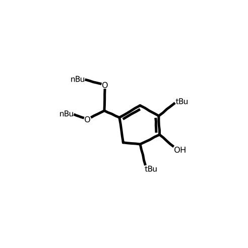 CCCCOC(OCCCC)C1=CC(C(C)(C)C)=C(O)C(C(C)(C)C)C1